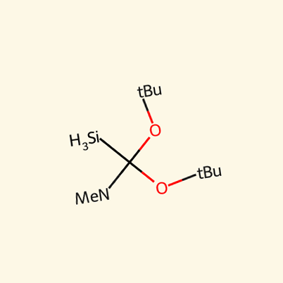 CNC([SiH3])(OC(C)(C)C)OC(C)(C)C